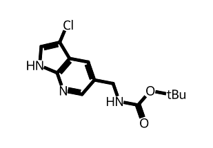 CC(C)(C)OC(=O)NCc1cnc2[nH]cc(Cl)c2c1